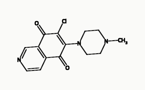 CN1CCN(C2=C(Cl)C(=O)c3cnccc3C2=O)CC1